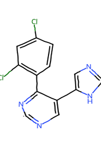 Clc1ccc(-c2n[c]ncc2-c2cnc[nH]2)c(Cl)c1